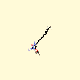 CCCCCCCCCCCCCCNc1cc(OC)nc(N)[n+]1[O-]